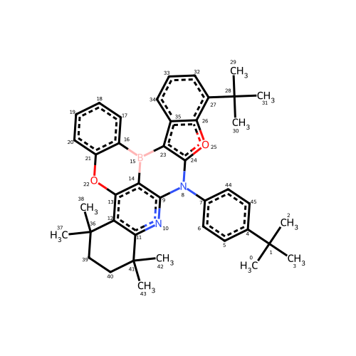 CC(C)(C)c1ccc(N2c3nc4c(c5c3B(c3ccccc3O5)c3c2oc2c(C(C)(C)C)cccc32)C(C)(C)CCC4(C)C)cc1